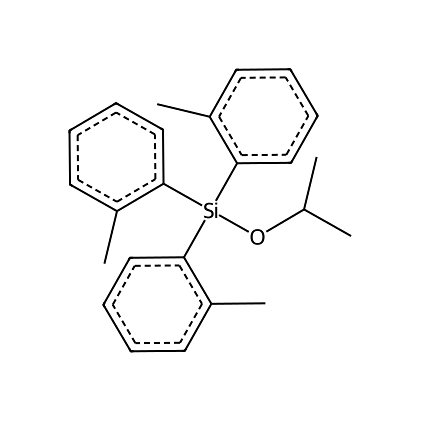 Cc1ccccc1[Si](OC(C)C)(c1ccccc1C)c1ccccc1C